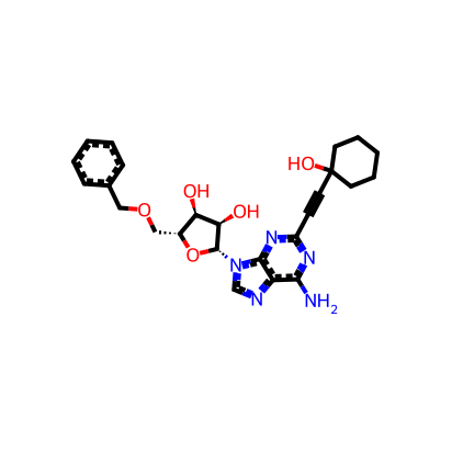 Nc1nc(C#CC2(O)CCCCC2)nc2c1ncn2[C@@H]1O[C@H](COCc2ccccc2)[C@@H](O)[C@H]1O